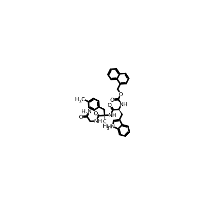 Cc1ccc(C[C@@](C)(NC(=O)[C@H](Cc2c[nH]c3ccccc23)NC(=O)OCc2cccc3ccccc23)C(=O)NCC(N)=O)cc1